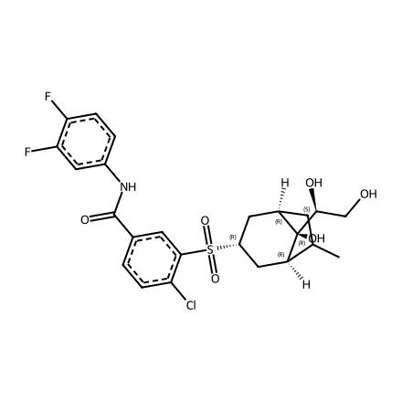 CC1C[C@@H]2C[C@@H](S(=O)(=O)c3cc(C(=O)Nc4ccc(F)c(F)c4)ccc3Cl)C[C@H]1[C@@]2(O)[C@@H](O)CO